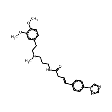 COc1ccc(CCN(C)CCCNC(=O)C/C=C/c2ccc(-n3cncn3)cc2)cc1OC